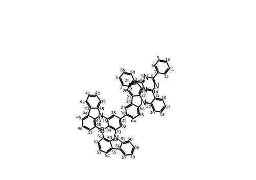 c1ccc(-c2nc(-c3ccccc3)nc(-c3ccccc3-n3c4ccccc4c4cc(-c5cc6c7c(c5)-n5c8ccccc8c8cccc(c85)B7c5cccc7c8ccccc8n-6c57)ccc43)n2)cc1